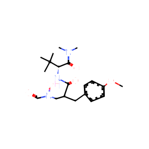 COc1ccc(CC(CN(O)C=O)C(=O)N[C@H](C(=O)N(C)C)C(C)(C)C)cc1